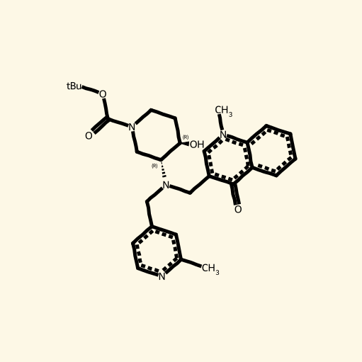 Cc1cc(CN(Cc2cn(C)c3ccccc3c2=O)[C@@H]2CN(C(=O)OC(C)(C)C)CC[C@H]2O)ccn1